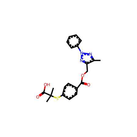 Cc1nn(-c2ccccc2)nc1COC(=O)c1ccc(SC(C)(C)C(=O)O)cc1